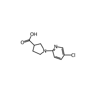 O=C(O)C1CCN(c2ccc(Cl)cn2)C1